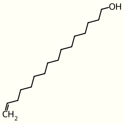 C=CCCCCCCCCCCCCCCO